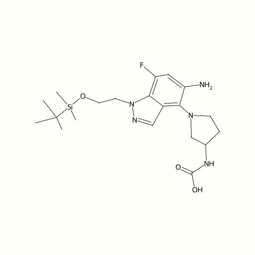 CC(C)(C)[Si](C)(C)OCCn1ncc2c(N3CCC(NC(=O)O)C3)c(N)cc(F)c21